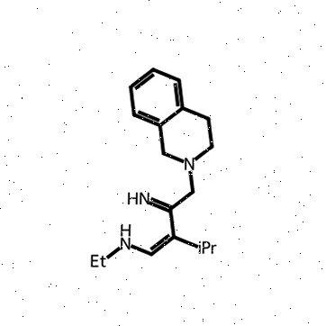 CCN/C=C(\C(=N)CN1CCc2ccccc2C1)C(C)C